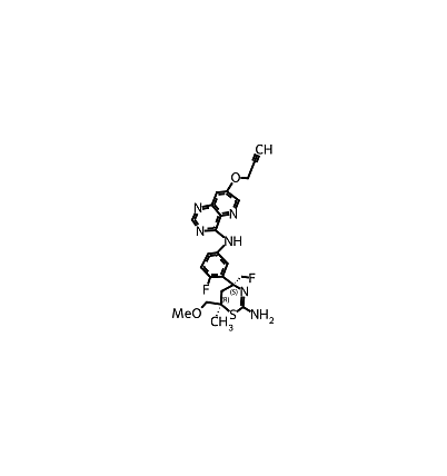 C#CCOc1cnc2c(Nc3ccc(F)c([C@]4(CF)C[C@](C)(COC)SC(N)=N4)c3)ncnc2c1